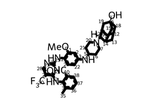 COc1cc(NC2CCN([C@H]3C4CC5CC3C[C@](O)(C5)C4)CC2)ccc1Nc1ncc(C(F)(F)F)c(Nc2c(C)cccc2C=O)n1